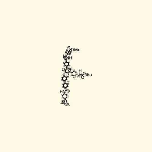 COC(=O)C(F)(F)C(F)(F)c1nnc(-c2ccc(NC(=O)[C@@H](Cc3ccc(-c4ccc(C(=O)N[C@H]5CC[C@H](O[Si](C)(C)C(C)(C)C)CC5)cc4C)cc3)NC(=O)[C@H]3CC[C@H](CNC(=O)OC(C)(C)C)CC3)cc2)[nH]1